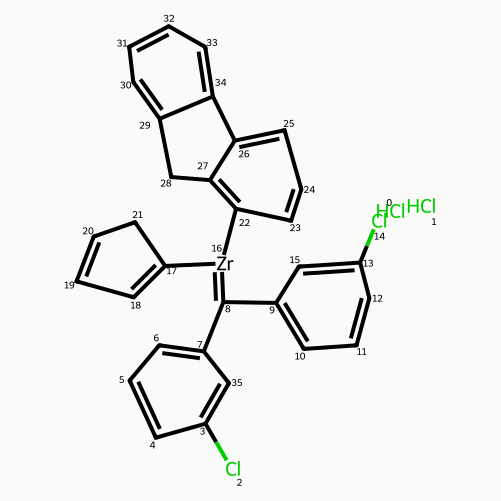 Cl.Cl.Clc1cccc([C](c2cccc(Cl)c2)=[Zr]([C]2=CC=CC2)[c]2cccc3c2Cc2ccccc2-3)c1